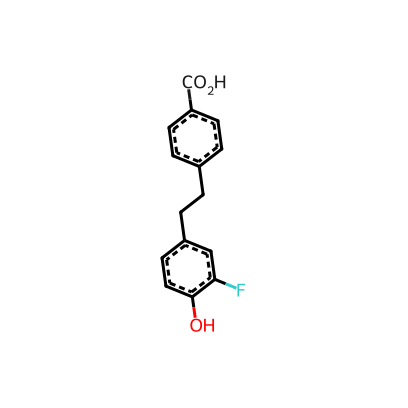 O=C(O)c1ccc(CCc2ccc(O)c(F)c2)cc1